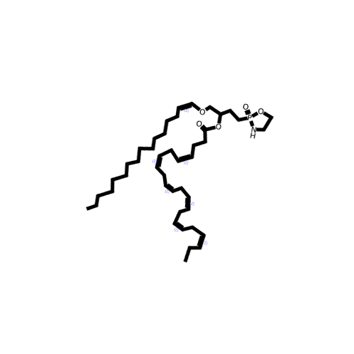 CC/C=C\C/C=C\C/C=C\C/C=C\C/C=C\C/C=C\CCC(=O)OC(CCP1(=O)NCCO1)CO/C=C\CCCCCCCCCCCCCC